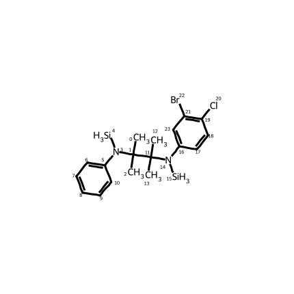 CC(C)(N([SiH3])c1ccccc1)C(C)(C)N([SiH3])c1ccc(Cl)c(Br)c1